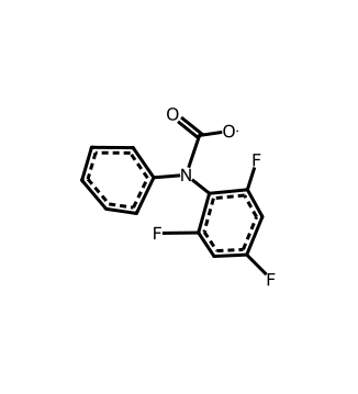 [O]C(=O)N(c1ccccc1)c1c(F)cc(F)cc1F